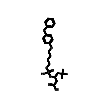 C[N+](C)(C)CC(CC(=O)O)OP(=O)(O)OCCCCOc1ccc(Oc2ccccc2)cc1